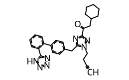 C#CCCn1nc(C(=O)CC2CCCCC2)nc1Cc1ccc(-c2ccccc2-c2nnn[nH]2)cc1